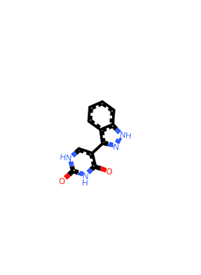 O=c1[nH]cc(-c2n[nH]c3ccccc23)c(=O)[nH]1